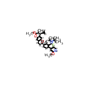 COC(=O)C(C)C(c1ccc2c(c1)O[C@H](c1ccc(-c3cc(OC)ncc3F)c(CN(C(C)C)C(C)C)c1)CC2)C1CC1